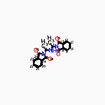 CC(NC(C)N1C(=O)c2ccccc2C1=O)N1C(=O)c2ccccc2C1=O